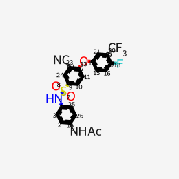 CC(=O)Nc1ccc(NS(=O)(=O)c2ccc(Oc3ccc(F)c(C(F)(F)F)c3)c(C#N)c2)cc1